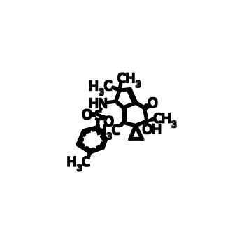 CC1=C2C(=CC(C)(C)C2NS(=O)(=O)c2ccc(C)cc2)C(=O)[C@](C)(O)C12CC2